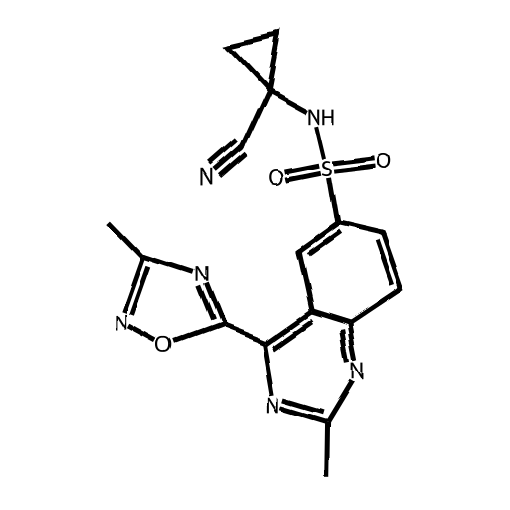 Cc1noc(-c2nc(C)nc3ccc(S(=O)(=O)NC4(C#N)CC4)cc23)n1